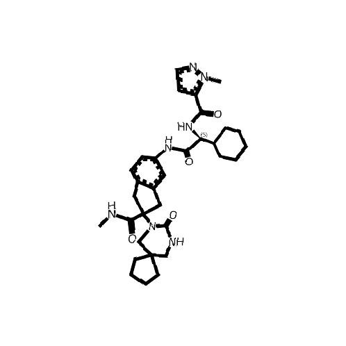 CNC(=O)C1(N2CC3(CCCC3)CNC2=O)Cc2ccc(NC(=O)[C@@H](NC(=O)c3ccnn3C)C3CCCCC3)cc2C1